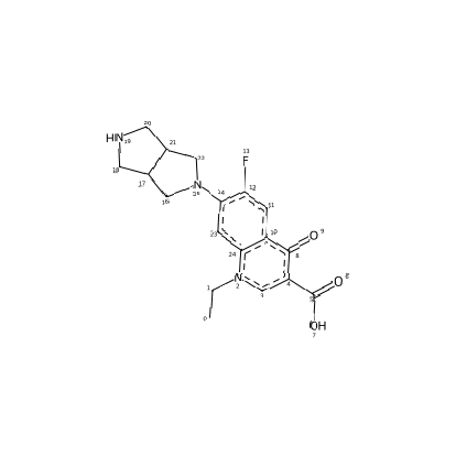 CCn1cc(C(=O)O)c(=O)c2cc(F)c(N3CC4CNCC4C3)cc21